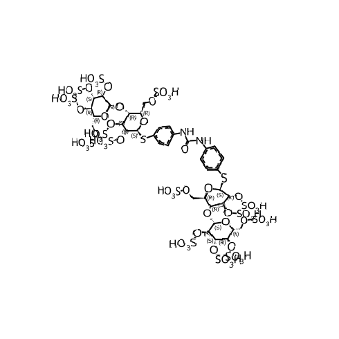 O=C(Nc1ccc(S[C@@H]2O[C@H](COS(=O)(=O)O)[C@@H](O[C@@H]3O[C@H](COS(=O)(=O)O)[C@@H](OS(=O)(=O)O)[C@H](OS(=O)(=O)O)[C@H]3OS(=O)(=O)O)[C@H](OS(=O)(=O)O)[C@H]2OS(=O)(=O)O)cc1)Nc1ccc(S[C@@H]2O[C@H](COS(=O)(=O)O)[C@@H](O[C@@H]3O[C@H](COS(=O)(=O)O)[C@@H](OS(=O)(=O)O)[C@H](OS(=O)(=O)O)[C@H]3OS(=O)(=O)O)[C@H](OS(=O)(=O)O)[C@H]2OS(=O)(=O)O)cc1